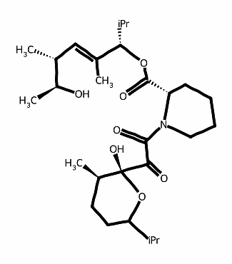 C/C(=C\[C@@H](C)[C@H](C)O)[C@@H](OC(=O)[C@@H]1CCCCN1C(=O)C(=O)[C@]1(O)OC(C(C)C)CC[C@H]1C)C(C)C